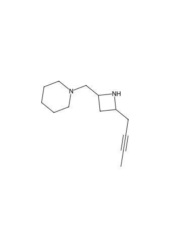 CC#CCC1CC(CN2CCCCC2)N1